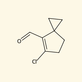 O=CC1=C(Cl)CCC12CC2